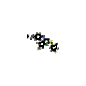 Cc1ccc(/N=C(/C=C/Sc2ccc(F)cc2)c2ccc(F)cc2Cl)cc1